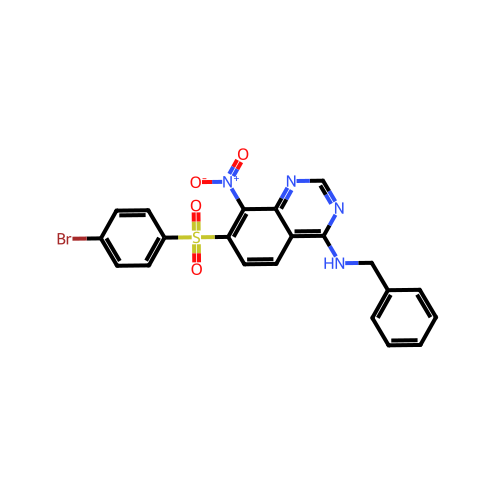 O=[N+]([O-])c1c(S(=O)(=O)c2ccc(Br)cc2)ccc2c(NCc3ccccc3)ncnc12